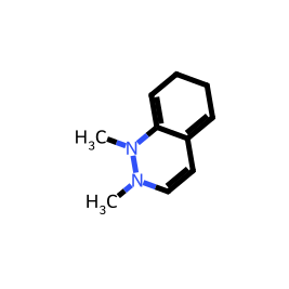 CN1C=CC2=CCCC=C2N1C